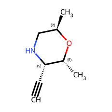 C#C[C@@H]1NC[C@@H](C)O[C@@H]1C